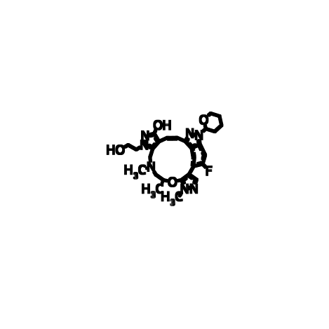 C[C@H]1CN(C)Cc2c(c(O)nn2CCO)/C=C\c2nn(C3CCCCO3)c3cc(F)c(cc23)-c2cnn(C)c2O1